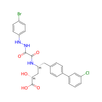 O=C(NNc1ccc(Br)cc1)C(=O)N[C@H](Cc1ccc(-c2cccc(Cl)c2)cc1)C[C@@H](O)C(=O)O